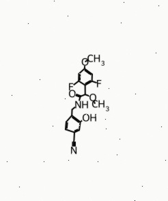 COc1cc(F)c(C(OC)C(=O)NCc2ccc(C#N)cc2O)c(F)c1